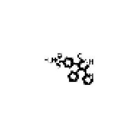 NS(=O)(=O)c1ccc(-c2c(-c3ccccc3)c(-c3ccccn3)c[nH]c2=O)cc1